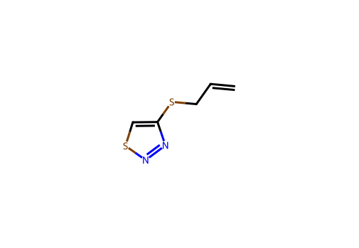 C=CCSc1csnn1